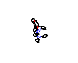 c1ccc(-c2ccc3c4ccc(N(c5ccccc5)c5ccccc5)cc4n(-c4ccccc4-c4ccccc4)c3c2)cc1